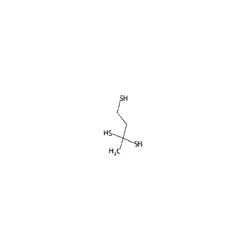 CC(S)(S)CCS